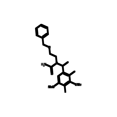 COc1cc(C(C)N(CCOCc2ccccc2)C(N)=O)c(C)c(OC)c1C